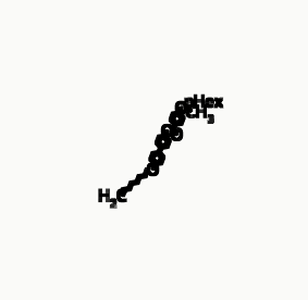 C=CCCCCCCOc1ccc(-c2ccc(OC(=O)c3ccc(O[C@@H](C)CCCCCC)cc3)cc2)cc1